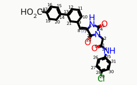 O=C(CN1C(=O)N/C(=C\C2C=CC=C(C3=CC=C(C(=O)O)CC3)C2)C1=O)Nc1ccc(Cl)cc1